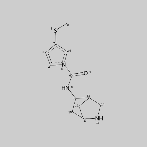 CSc1ccn(C(=O)NC2CC3CC2CN3)c1